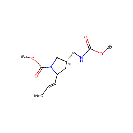 COC=CC1C[C@@H](CNC(=O)OC(C)(C)C)CN1C(=O)OC(C)(C)C